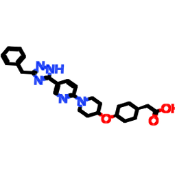 O=C(O)C[C@H]1CC[C@@H](OC2CCN(c3ccc(-c4nc(Cc5ccccc5)n[nH]4)cn3)CC2)CC1